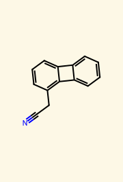 N#CCc1cccc2c1-c1ccccc1-2